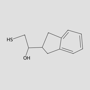 OC(CS)C1Cc2ccccc2C1